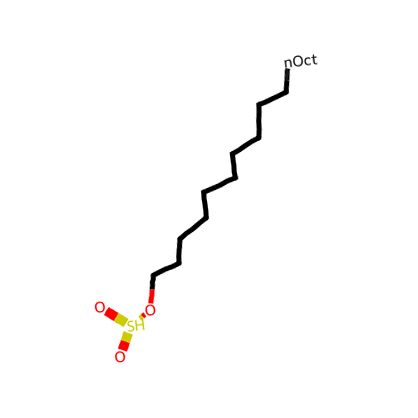 CCCCCCCCCCCCCCCCCCO[SH](=O)=O